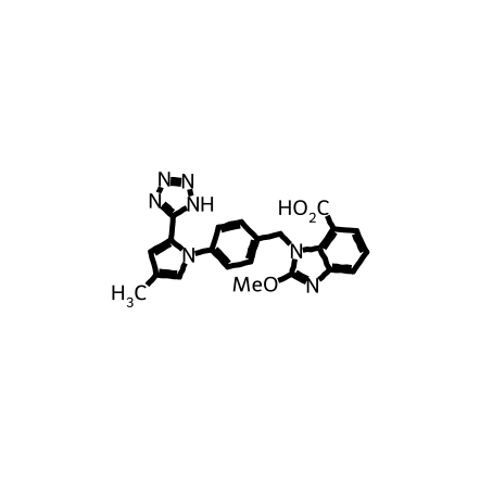 COc1nc2cccc(C(=O)O)c2n1Cc1ccc(-n2cc(C)cc2-c2nnn[nH]2)cc1